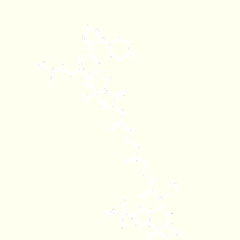 CCN(C(=O)OCOC(=O)CCCC(=O)OCC(=O)N(C[C@@H](COc1nsnc1N1CCOCC1)OC(=O)COC(C)=O)C(C)(C)C)[C@@H]1C[C@H](C)S(=O)(=O)c2sc(S(N)(=O)=O)cc21